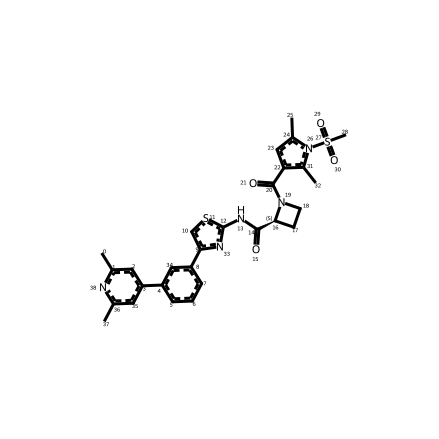 Cc1cc(-c2cccc(-c3csc(NC(=O)[C@@H]4CCN4C(=O)c4cc(C)n(S(C)(=O)=O)c4C)n3)c2)cc(C)n1